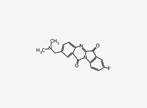 CN(C)Cc1ccc2nc3n(c(=O)c2c1)-c1ccc(F)cc1C3=O